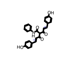 O=C(/C=C/c1ccc(O)cc1)C(C(=O)/C=C/c1ccc(O)cc1)C(=O)Nc1ccccc1